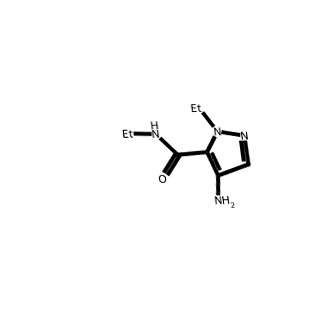 CCNC(=O)c1c(N)cnn1CC